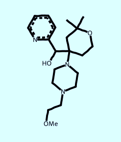 COCCN1CCN(C2(C(O)c3ccccn3)CCOC(C)(C)C2)CC1